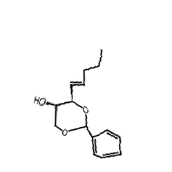 CCC/C=C/[C@H]1OC(c2ccccc2)OC[C@H]1O